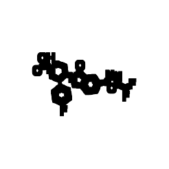 O=C(O)N1CC[C@@H](N2Cc3ccc(-c4nnc(C(F)F)o4)cc3C2=O)[C@H](c2ccc(F)cc2)C1